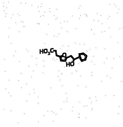 O=C(O)CCc1ccc(CC(O)c2ccccc2)o1